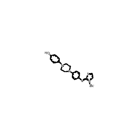 CCC(C)n1ccs/c1=N\c1ccc(N2CCN(c3ccc(O)cc3)CC2)cc1